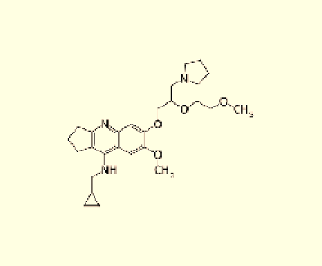 COCCOC(COc1cc2nc3c(c(NCC4CC4)c2cc1OC)CCC3)CN1CCCC1